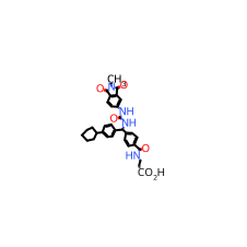 CN1C(=O)c2ccc(NC(=O)NC(c3ccc(C(=O)NCCC(=O)O)cc3)c3ccc(C4CCCCC4)cc3)cc2C1=O